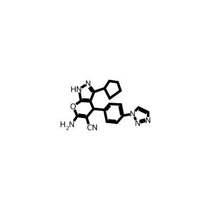 N#CC1=C(N)Oc2[nH]nc(C3CCCC3)c2C1c1ccc(-n2ccnn2)cc1